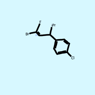 CC(C)C(/C=C(\F)Br)c1ccc(Cl)cc1